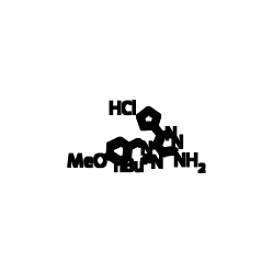 CCCCc1nc2c(N)nnc(C3=CCCC3)c2n1Cc1ccc(OC)cc1.Cl